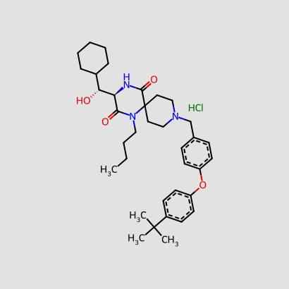 CCCCN1C(=O)[C@@H]([C@H](O)C2CCCCC2)NC(=O)C12CCN(Cc1ccc(Oc3ccc(C(C)(C)C)cc3)cc1)CC2.Cl